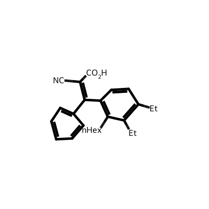 CCCCCCc1c(C(=C(C#N)C(=O)O)c2ccccc2)ccc(CC)c1CC